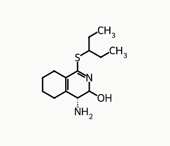 CCC(CC)SC1=NC(O)[C@H](N)C2=C1CCCC2